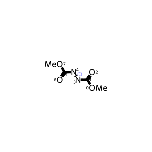 COC(=O)/N=N/C(=O)OC